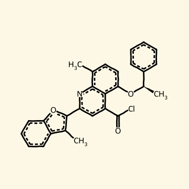 Cc1c(-c2cc(C(=O)Cl)c3c(O[C@H](C)c4ccccc4)ccc(C)c3n2)oc2ccccc12